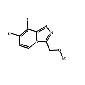 CCOCc1nnc2c(I)c(Cl)ccn12